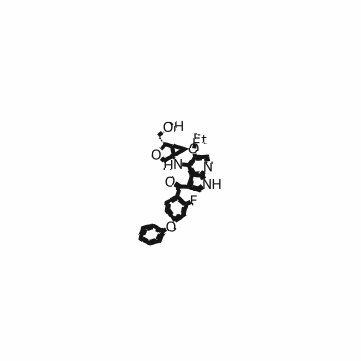 CCOc1cnc2[nH]cc(C(=O)c3ccc(Oc4ccccc4)cc3F)c2c1N[C@@]12CO[C@H](CO)C1C2